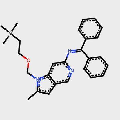 Cc1cc2cnc(N=C(c3ccccc3)c3ccccc3)cc2n1COCC[Si](C)(C)C